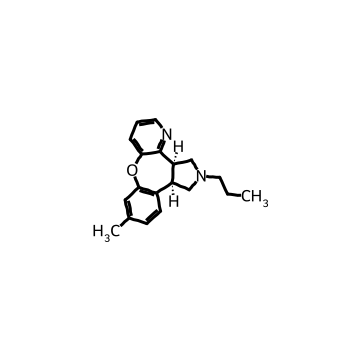 CCCN1C[C@@H]2c3ncccc3Oc3cc(C)ccc3[C@@H]2C1